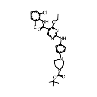 CCOc1nc(Nc2ccc(N3CCN(C(=O)OC(C)(C)C)CC3)cc2)ncc1C(=O)Nc1c(Cl)cccc1Cl